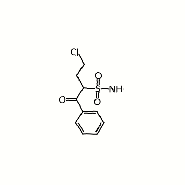 [NH]S(=O)(=O)C(CCCl)C(=O)c1ccccc1